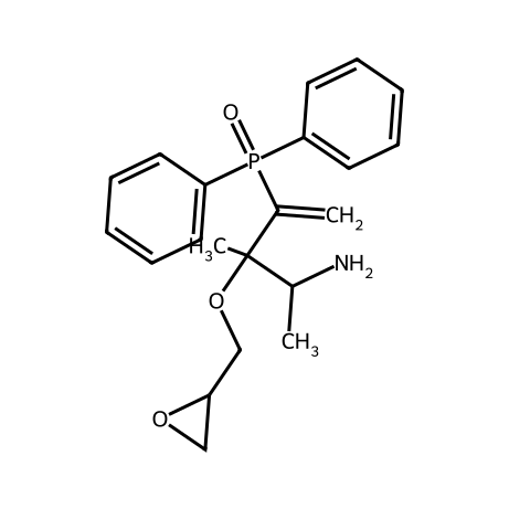 C=C(C(C)(OCC1CO1)C(C)N)P(=O)(c1ccccc1)c1ccccc1